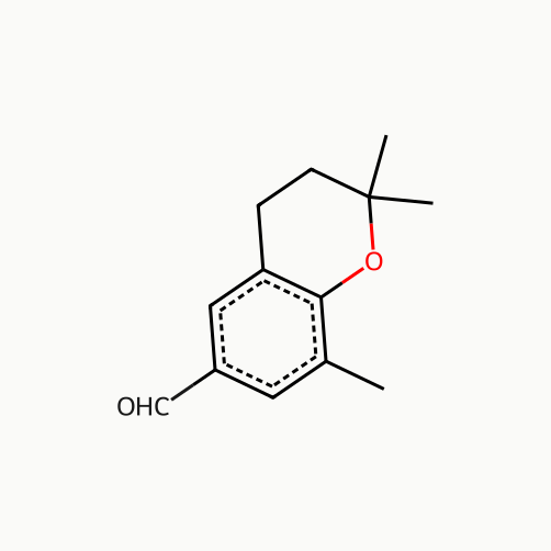 Cc1cc(C=O)cc2c1OC(C)(C)CC2